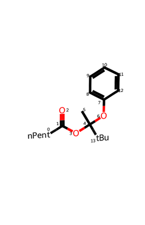 CCCCCC(=O)OC(C)(Oc1ccccc1)C(C)(C)C